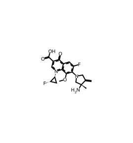 C=C1CN(c2c(F)cc3c(=O)c(C(=O)O)cn([C@@H]4C[C@@H]4F)c3c2OC)C[C@@]1(C)N